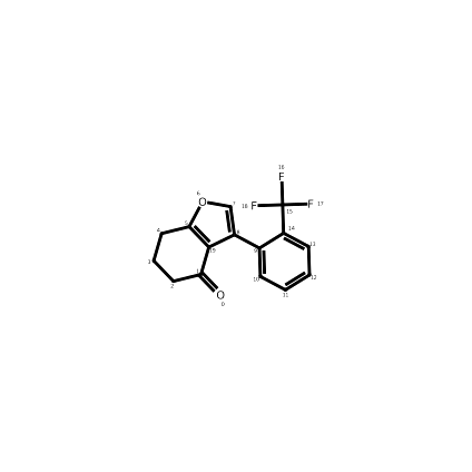 O=C1CCCc2occ(-c3ccccc3C(F)(F)F)c21